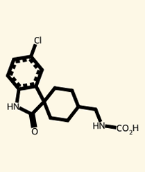 O=C(O)NCC1CCC2(CC1)C(=O)Nc1ccc(Cl)cc12